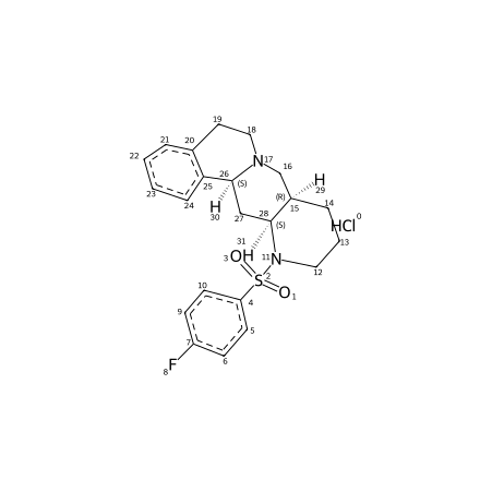 Cl.O=S(=O)(c1ccc(F)cc1)N1CCC[C@@H]2CN3CCc4ccccc4[C@@H]3C[C@@H]21